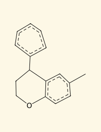 Cc1ccc2c(c1)C(c1ccccc1)CCO2